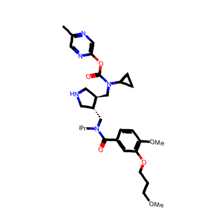 COCCCOc1cc(C(=O)N(C[C@@H]2CNC[C@H]2CN(C(=O)Oc2cnc(C)cn2)C2CC2)C(C)C)ccc1OC